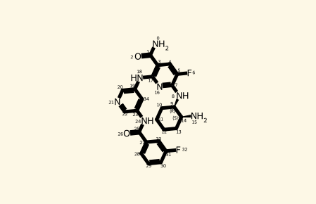 NC(=O)c1cc(F)c(N[C@@H]2CCCC[C@@H]2N)nc1Nc1cncc(NC(=O)c2cccc(F)c2)c1